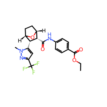 CCOC(=O)c1ccc(NC(=O)[C@@H]2[C@H](c3cc(C(F)(F)F)nn3C)[C@@H]3CC[C@H]2O3)cc1